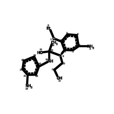 CCOc1ccc(N)cc1N(CCO)C(C)(O)Nc1cccc(N)c1